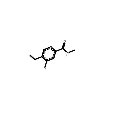 CCc1cnc(C(=O)NC)cc1Cl